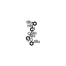 CC(C)(C)c1ccccc1Nc1ccc(NC(=O)Nc2cccnc2Oc2ccccc2C(C)(C)C)cn1